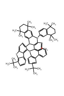 Cc1cc2c3c(c1)N(c1ccc(C(C)(C)C)cc1-c1ccccc1)c1c(ccc4sc5c(C(C)(C)C)cccc5c14)B3c1cc3c(cc1N2c1ccc2c(c1)C(C)(C)CCC2(C)C)C(C)(C)CCC3(C)C